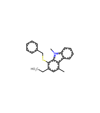 Cc1cc(CC(=O)O)c(SCc2ccccc2)c2c1c1ccccc1n2C